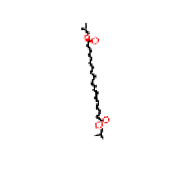 CC(C)COC(=O)CCCCCCCCCCCCCCCCCC(=O)OCC(C)C